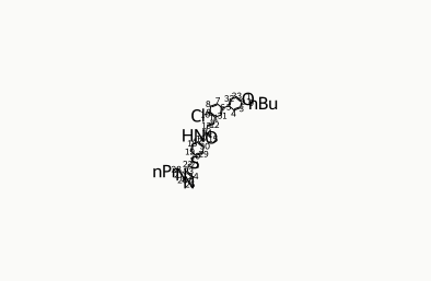 CCCCOc1ccc(-c2ccc(Cl)c(/C=C/C(=O)Nc3ccc(SCc4cncn4CCC)cc3)c2)cc1